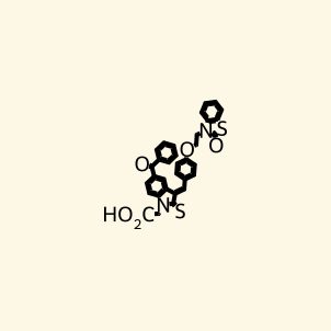 O=C(O)CN1C(=S)/C(=C/c2ccc(OCCn3c(=O)sc4ccccc43)cc2)c2cc(C(=O)c3ccccc3)ccc21